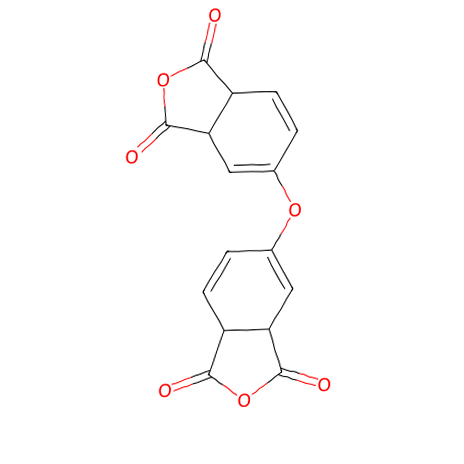 O=C1OC(=O)C2C=C(OC3=CC4C(=O)OC(=O)C4C=C3)C=CC12